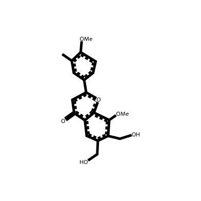 COc1ccc(-c2cc(=O)c3cc(CO)c(CO)c(OC)c3o2)cc1C